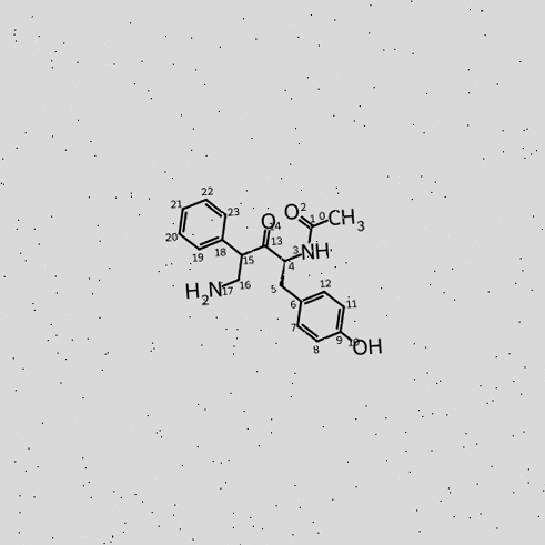 CC(=O)N[C@@H](Cc1ccc(O)cc1)C(=O)C(CN)c1ccccc1